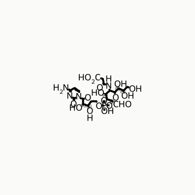 Nc1ccn(C2OC(COP(=O)(O)O[C@]3(C=O)C[C@@H](O)C(NC(=O)CC(=O)O)C([C@H](O)[C@H](O)CO)O3)[C@@H](O)[C@H]2O)c(=O)n1